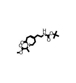 COC(=O)C(C)N1CCC(CCNC(=O)OC(C)(C)C)=CCC1=O